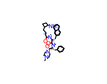 CN1CCN(C(=O)[C@@H](Cc2ccccc2)N(C)C(=O)[C@@H](Cc2ccc3ccccc3c2)N(C)C(=O)/C=C/CC2CCC2N)CC1